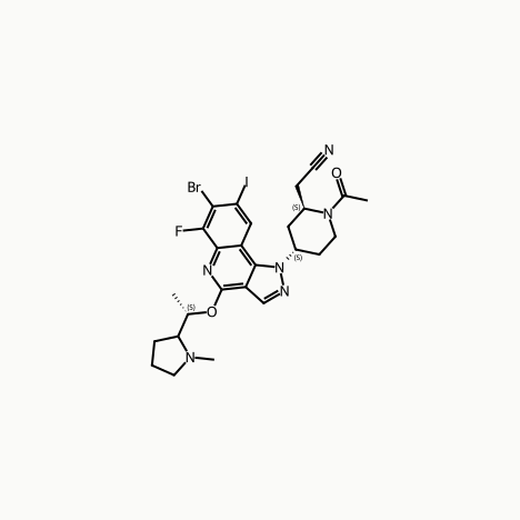 CC(=O)N1CC[C@H](n2ncc3c(O[C@@H](C)C4CCCN4C)nc4c(F)c(Br)c(I)cc4c32)C[C@H]1CC#N